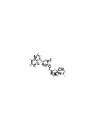 C[C@H](COc1ncc(-c2ccnc3ccccc23)cc1F)CC(C)(C)N